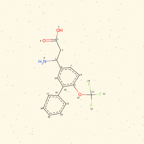 NC(CC(=O)O)c1ccc(OC(F)(F)F)c(-c2ccccc2)c1